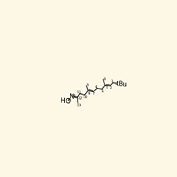 C/C(=C\CC(C)(C)C)CC/C=C(\C)CC/C(C)=N/O